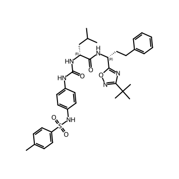 Cc1ccc(S(=O)(=O)Nc2ccc(NC(=O)N[C@H](CC(C)C)C(=O)N[C@H](CCc3ccccc3)c3nc(C(C)(C)C)no3)cc2)cc1